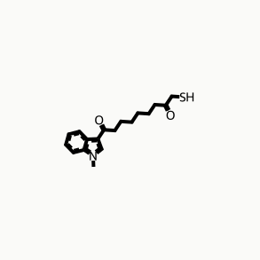 Cn1cc(C(=O)CCCCCCC(=O)CS)c2ccccc21